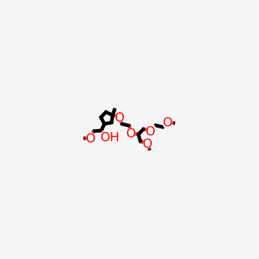 COCCOCC(COC)OCCOC1(C)CCC(C(O)COC)C1